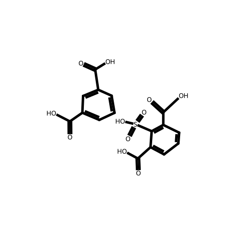 O=C(O)c1cccc(C(=O)O)c1.O=C(O)c1cccc(C(=O)O)c1S(=O)(=O)O